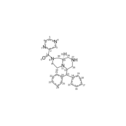 O=C(c1cnccn1)N1CCN2C(C(c3ccccc3)c3ccccc3)CNC[C@@H]2C1